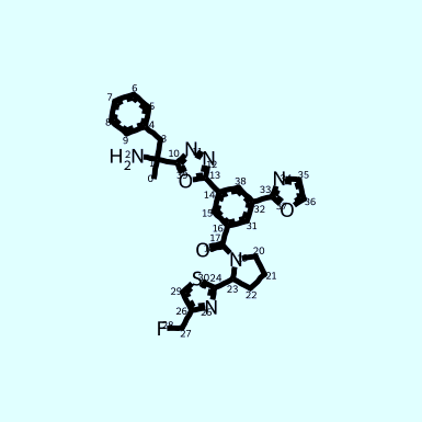 CC(N)(Cc1ccccc1)c1nnc(-c2cc(C(=O)N3CCCC3c3nc(CF)cs3)cc(-c3ncco3)c2)o1